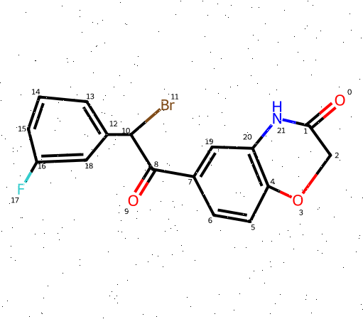 O=C1COc2ccc(C(=O)C(Br)c3cccc(F)c3)cc2N1